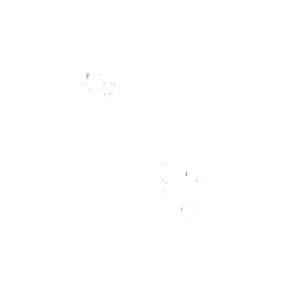 CCCC(=O)C(C)C(CNCCCCCCCCCCCc1nc2c(c(=O)[nH]c(=O)n2C)n1C)NC(=O)OCc1ccccc1